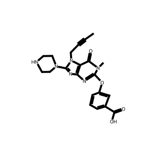 CC#CCn1c(N2CCNCC2)nc2nc(Oc3cccc(C(=O)O)c3)n(C)c(=O)c21